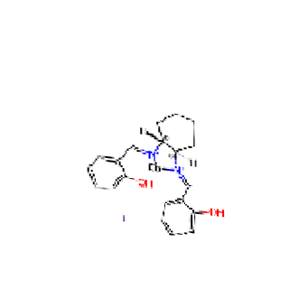 Oc1ccccc1C=[N+]1[Co][N+](=Cc2ccccc2O)[C@@H]2CCCC[C@H]21.[I-]